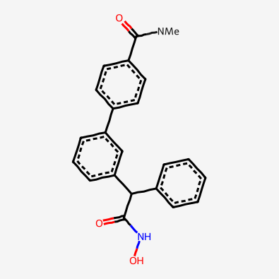 CNC(=O)c1ccc(-c2cccc(C(C(=O)NO)c3ccccc3)c2)cc1